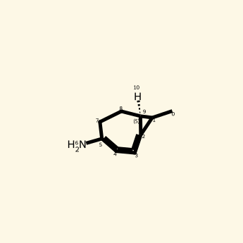 CC1C2=C=C=C(N)CC[C@H]21